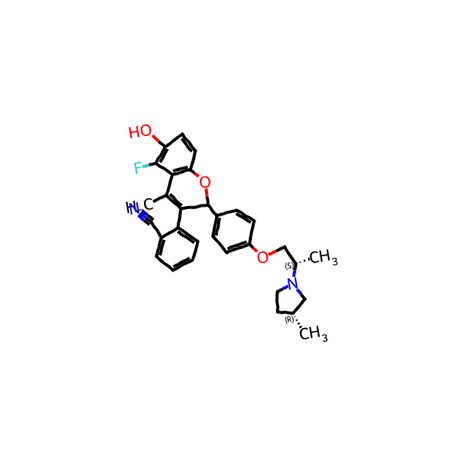 CC1=C(c2ccccc2C#N)C(c2ccc(OC[C@H](C)N3CC[C@@H](C)C3)cc2)Oc2ccc(O)c(F)c21